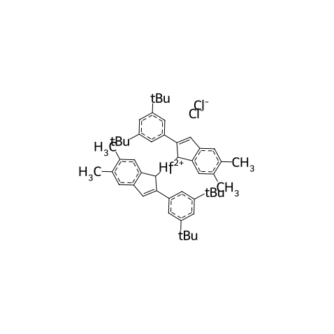 Cc1cc2c(cc1C)[CH]([Hf+2][CH]1C(c3cc(C(C)(C)C)cc(C(C)(C)C)c3)=Cc3cc(C)c(C)cc31)C(c1cc(C(C)(C)C)cc(C(C)(C)C)c1)=C2.[Cl-].[Cl-]